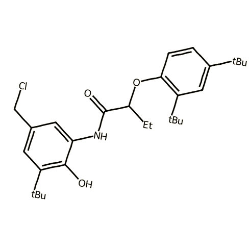 CCC(Oc1ccc(C(C)(C)C)cc1C(C)(C)C)C(=O)Nc1cc(CCl)cc(C(C)(C)C)c1O